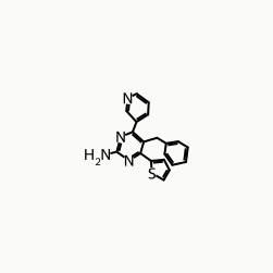 Nc1nc(-c2cccnc2)c(Cc2ccccc2)c(-c2cccs2)n1